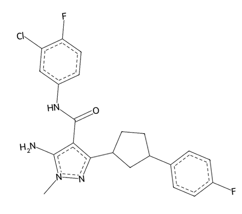 Cn1nc(C2CCC(c3ccc(F)cc3)C2)c(C(=O)Nc2ccc(F)c(Cl)c2)c1N